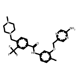 Cc1ccc(NC(=O)c2ccc(CN3CCN(C)CC3)c(C(F)(F)F)c2)cc1OCc1cnc(N)cn1